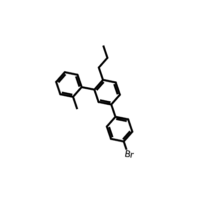 CCCc1ccc(-c2ccc(Br)cc2)cc1-c1ccccc1C